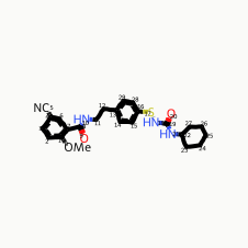 COc1ccc(C#N)cc1C(=O)NCCc1ccc(SNC(=O)NC2CCCCC2)cc1